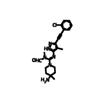 Cc1c(C#Cc2ccccc2Cl)n[nH]c1/N=C(\N(C)C=O)N1CCC(C)(N)CC1